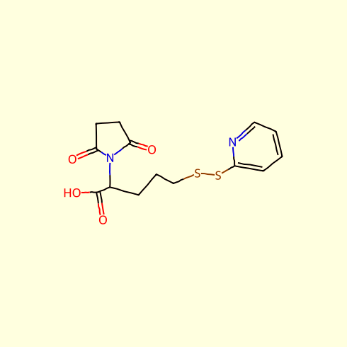 O=C(O)C(CCCSSc1ccccn1)N1C(=O)CCC1=O